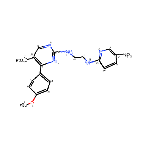 CCCCOc1ccc(-c2nc(NCCNc3ccc([N+](=O)[O-])cn3)ncc2C(=O)OCC)cc1